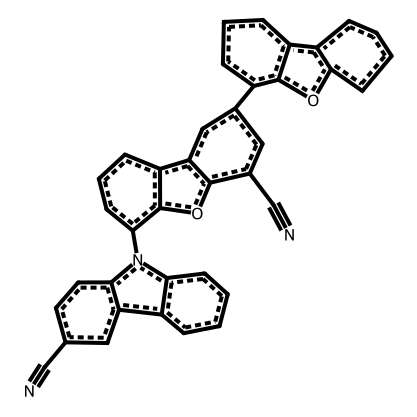 N#Cc1ccc2c(c1)c1ccccc1n2-c1cccc2c1oc1c(C#N)cc(-c3cccc4c3oc3ccccc34)cc12